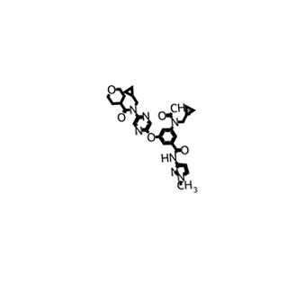 CC(=O)N(CC1CC1)c1cc(Oc2cnc(N(CC3CC3)C(=O)C3CCOCC3)cn2)cc(C(=O)Nc2ccn(C)n2)c1